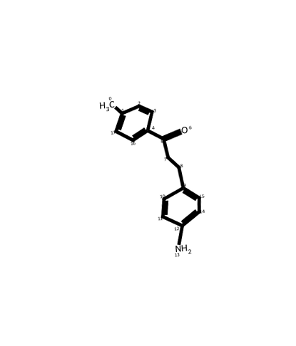 Cc1ccc(C(=O)CCc2ccc(N)cc2)cc1